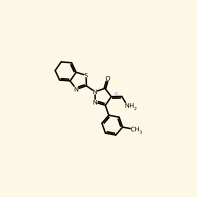 Cc1cccc(C2=NN(c3nc4c(s3)=CCCC=4)C(=O)/C2=C/N)c1